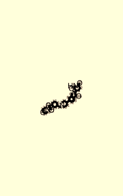 O=C1CCC(N2Cc3cc(C4CCN(CC5CCCC(S(=O)(=O)N6CCOCC6)C5)CC4)ccc3C2=O)C(=O)N1